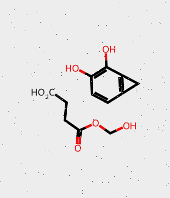 O=C(O)CCC(=O)OCO.Oc1ccc2c(c1O)C2